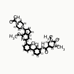 COc1nc(-c2cccc(-c3cccc(NC(=O)C4=CN(C)C(=O)N(C)C4)c3Cl)c2Cl)cc2c1C(N1CCN(C(C)=O)CC1)CC2